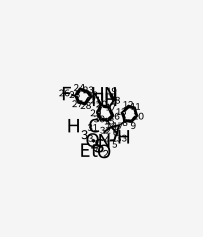 CCS(=O)(=O)N1C[C@H]2[C@H](c3ccccc3)[C@@]2(c2cc(C=N)c(Nc3ccc(F)cc3)cc2C)C1